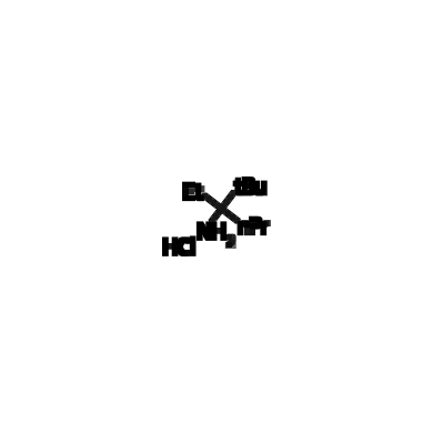 CCCC(N)(CC)C(C)(C)C.Cl